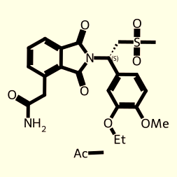 CC(C)=O.CCOc1cc([C@@H](CS(C)(=O)=O)N2C(=O)c3cccc(CC(N)=O)c3C2=O)ccc1OC